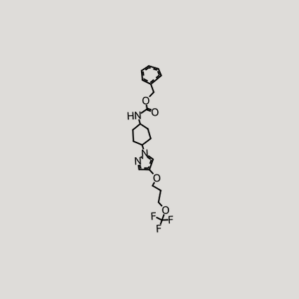 O=C(NC1CCC(n2cc(OCCCOC(F)(F)F)cn2)CC1)OCc1ccccc1